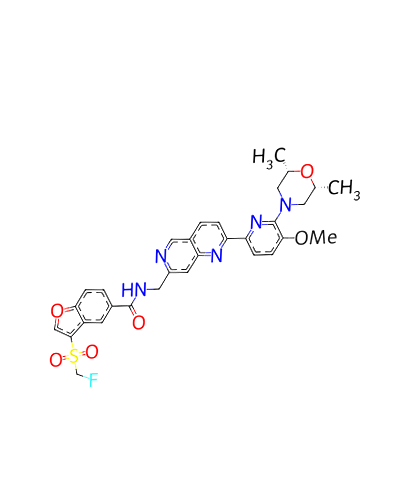 COc1ccc(-c2ccc3cnc(CNC(=O)c4ccc5occ(S(=O)(=O)CF)c5c4)cc3n2)nc1N1C[C@@H](C)O[C@@H](C)C1